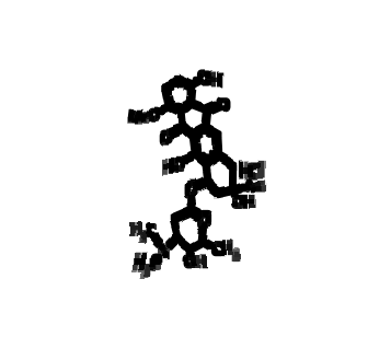 COc1ccc(O)c2c1C(=O)c1c(cc3c(c1O)C(OC1CC(N(C)C)C(O)C(C)O1)CC(O)(C(C)=O)C3)C2=O.Cl